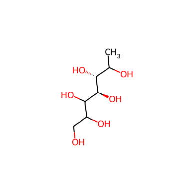 CC(O)[C@@H](O)[C@@H](O)C(O)C(O)CO